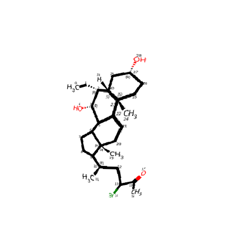 CC[C@H]1[C@@H](O)C2C3CCC([C@H](C)CC(Br)C(C)=O)[C@@]3(C)CCC2[C@@]2(C)CC[C@@H](O)C[C@@H]12